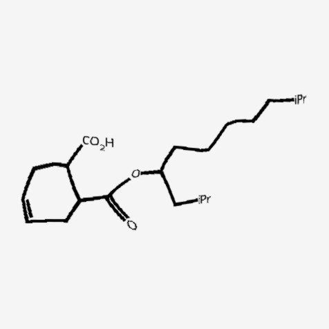 CC(C)CCCCCC(CC(C)C)OC(=O)C1CC=CCC1C(=O)O